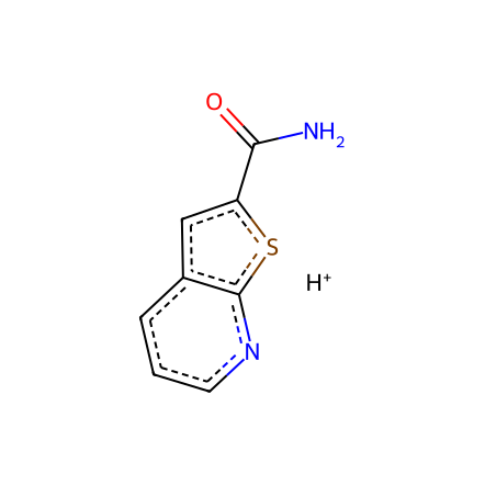 NC(=O)c1cc2cccnc2s1.[H+]